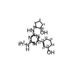 CC(C)Nc1nc(N[C@@H]2CCC[C@@H]2O)nc(C2=CC(O)CCC2)n1